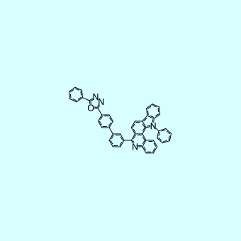 c1ccc(-c2nnc(-c3ccc(-c4cccc(-c5nc6ccccc6c6c5ccc5c7ccccc7n(-c7ccccc7)c56)c4)cc3)o2)cc1